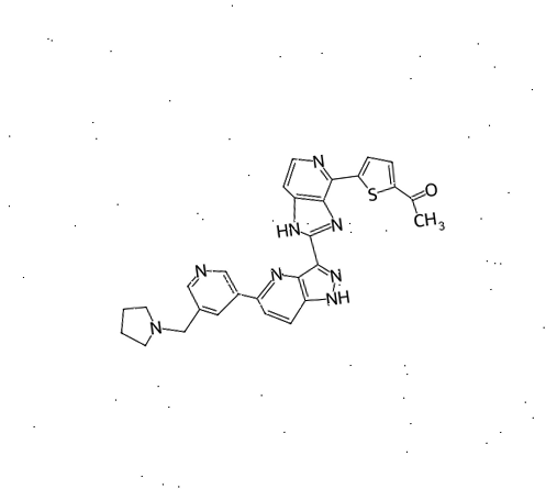 CC(=O)c1ccc(-c2nccc3[nH]c(-c4n[nH]c5ccc(-c6cncc(CN7CCCC7)c6)nc45)nc23)s1